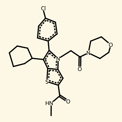 CNC(=O)c1cc2c(s1)c(C1CCCCC1)c(-c1ccc(Cl)cc1)n2CC(=O)N1CCOCC1